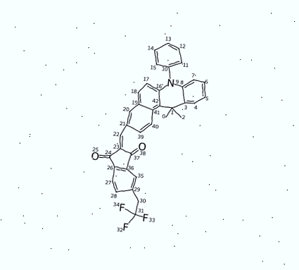 CC1(C)c2ccccc2N(c2ccccc2)c2ccc3cc(/C=C4/C(=O)c5ccc(CC(F)(F)F)cc5C4=O)ccc3c21